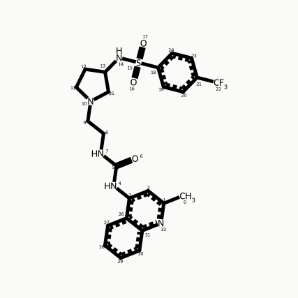 Cc1cc(NC(=O)NCCN2CCC(NS(=O)(=O)c3ccc(C(F)(F)F)cc3)C2)c2ccccc2n1